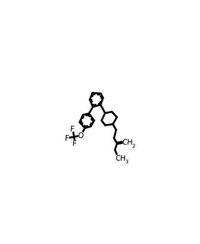 C=C(CC)CCC1CCC(c2ccccc2-c2ccc(OC(F)(F)F)cc2)CC1